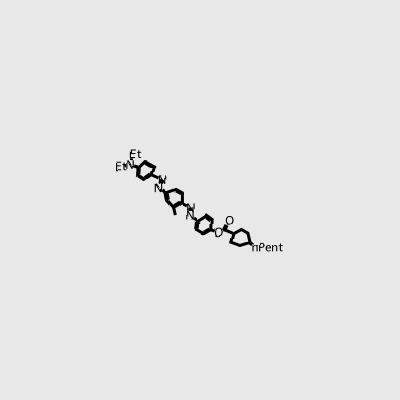 CCCCCC1CCC(C(=O)Oc2ccc(N=Nc3ccc(N=Nc4ccc(N(CC)CC)cc4)cc3C)cc2)CC1